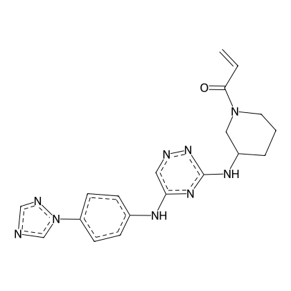 C=CC(=O)N1CCCC(Nc2nncc(Nc3ccc(-n4cncn4)cc3)n2)C1